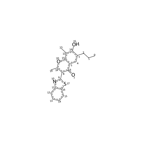 CCCc1cc2c(=O)c(-c3nc4ccccc4s3)c(C)oc2c(C)c1O